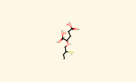 CCC(S)COC(CCC(=O)O)C(=O)O